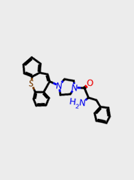 NC(Cc1ccccc1)C(=O)N1CCN(C2=Cc3ccccc3Sc3ccccc32)CC1